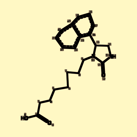 O=C(O)CCCCCCCN1C(=O)NCC1c1cccc2ccccc12